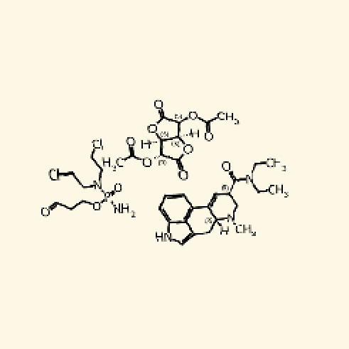 CC(=O)O[C@@H]1C(=O)O[C@H]2[C@@H]1OC(=O)[C@@H]2OC(C)=O.CCN(CC)C(=O)[C@@H]1C=C2c3cccc4[nH]cc(c34)C[C@H]2N(C)C1.NP(=O)(OCCC=O)N(CCCl)CCCl